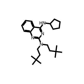 CC(C)(C)CCN(CCC(C)(C)C)c1nc(NC2CCCC2)c2ccccc2n1